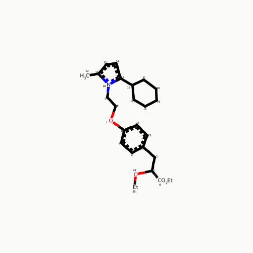 CCOC(=O)C(Cc1ccc(OCCn2c(C)ccc2C2CCCCC2)cc1)OCC